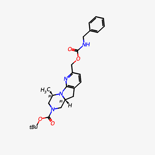 C[C@@H]1CN(C(=O)OC(C)(C)C)C[C@H]2Cc3ccc(COC(=O)NCc4ccccc4)nc3N21